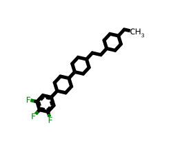 CCC1CCC(CCC2CCC(C3CCC(c4cc(F)c(F)c(F)c4)CC3)CC2)CC1